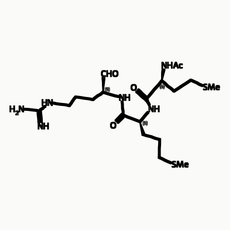 CSCCC[C@H](NC(=O)[C@H](CCSC)NC(C)=O)C(=O)N[C@H](C=O)CCCNC(=N)N